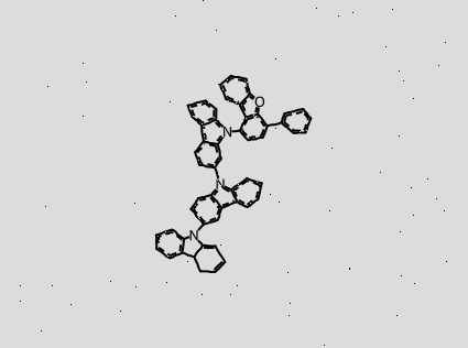 C1=CCC2C(=C1)N(c1ccc3c(c1)c1ccccc1n3-c1ccc3c4ccccc4n(-c4ccc(-c5ccccc5)c5oc6ccccc6c45)c3c1)c1ccccc12